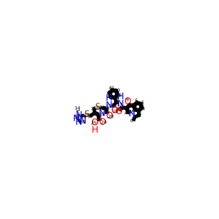 CC1Cc2cccc3c(=O)c(C(=O)NC(C(=O)NC4C(=O)N5C(C(=O)O)=C(CSc6nnnn6C)CSC45)c4ccccc4)cn1c23